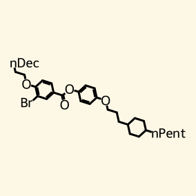 CCCCCCCCCCCCOc1ccc(C(=O)Oc2ccc(OCCCC3CCC(CCCCC)CC3)cc2)cc1Br